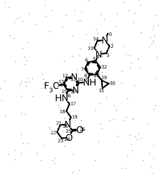 CN1CCN(c2ccc(Nc3ncc(C(F)(F)F)c(NCCCN4CCCOC4=O)n3)c(C3CC3)c2)CC1